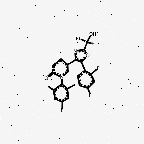 CCC(O)(CC)c1nc(-c2ccc(=O)n(-c3c(C)cc(F)cc3C)c2)c(-c2ccc(F)cc2F)o1